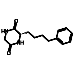 O=C1CNC(=O)[C@H](CCCCc2ccccc2)N1